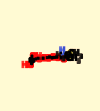 CSSC(C)(C)CCC(=O)NCCOCCOCCOCCOCCOCCOc1cc(CO)ccc1CO